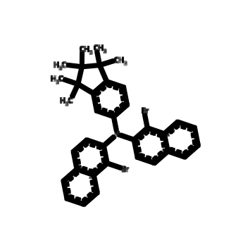 CC1(C)c2ccc(N(c3ccc4ccccc4c3Br)c3ccc4ccccc4c3Br)cc2C(C)(C)C1(C)C